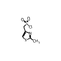 Cc1nc(CS(=O)(=O)Cl)cs1